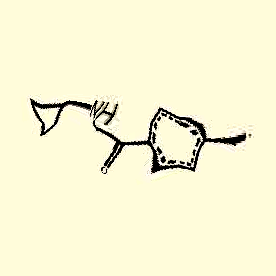 [CH2]c1ccc(C(=O)NC2CC2)cc1